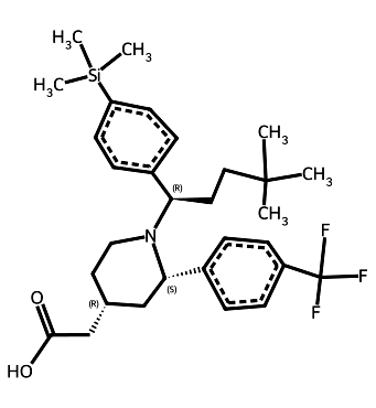 CC(C)(C)CC[C@H](c1ccc([Si](C)(C)C)cc1)N1CC[C@@H](CC(=O)O)C[C@H]1c1ccc(C(F)(F)F)cc1